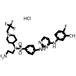 Cc1cc(Nc2ccnc(Nc3ccc(S(=O)(=O)N(CCN)C4CCN(CC(F)(F)F)CC4)cc3)n2)ccc1F.Cl